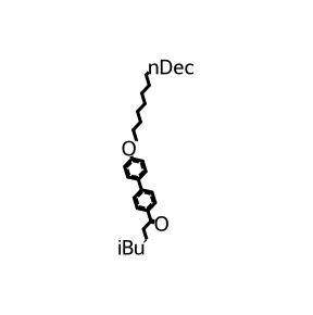 CCCCCCCCCCCCCCCCCCOc1ccc(-c2ccc(C(=O)CC[C@@H](C)CC)cc2)cc1